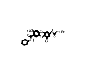 CCOC(=O)C(=O)Nc1cc(Cl)c(Oc2ccc(O)c(C(=O)NC3CCCCC3)c2)c(Cl)c1